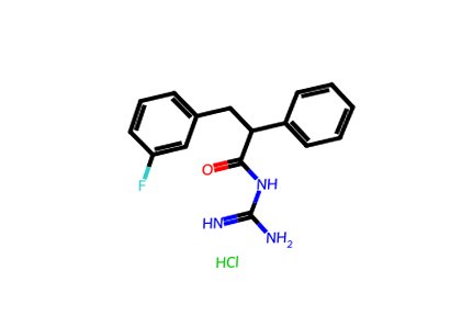 Cl.N=C(N)NC(=O)C(Cc1cccc(F)c1)c1ccccc1